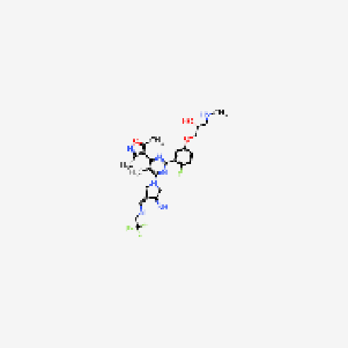 CNC[C@@H](O)COc1ccc(F)c(-c2nc(-c3c(C)noc3C)c(C)c(N3CC(=N)/C(=C\NCC(F)(F)F)C3)n2)c1